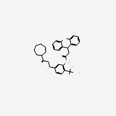 CC(C)(C)c1ccc(CCC(=O)C2CCCCCC2)cc1NC(=O)CC1c2ccccc2Oc2ccccc21